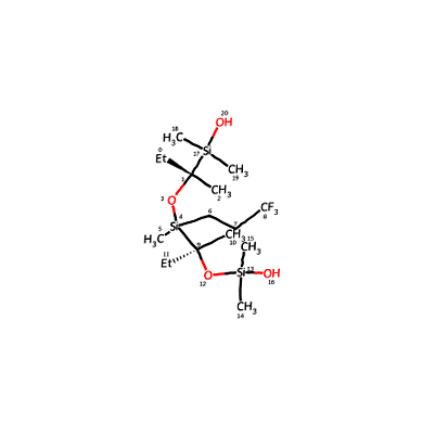 CC[C@@](C)(O[Si](C)(CCC(F)(F)F)[C@](C)(CC)O[Si](C)(C)O)[Si](C)(C)O